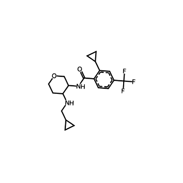 O=C(NC1COCCC1NCC1CC1)c1ccc(C(F)(F)F)cc1C1CC1